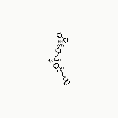 CN(CCN1CCC(OC(=O)Nc2ccccc2-c2ccccc2)CC1)C(=O)c1cccc(C(=O)NCCNCc2ncc[nH]2)c1